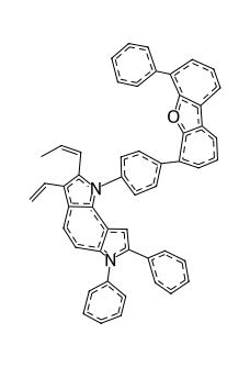 C=Cc1c(/C=C\C)n(-c2ccc(-c3cccc4c3oc3c(-c5ccccc5)cccc34)cc2)c2c1ccc1c2cc(-c2ccccc2)n1-c1ccccc1